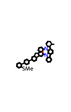 CSc1ccccc1-c1ccc(-c2ccc3c(c2)Cc2ccc(-n4c5ccccc5c5ccc6c7c(n(-c8ccccc8)c6c54)C=CCC7C)cc2-3)cc1